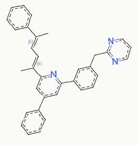 C/C(=C\C=C(/C)c1cc(-c2ccccc2)cc(-c2cccc(Cc3ncccn3)c2)n1)c1ccccc1